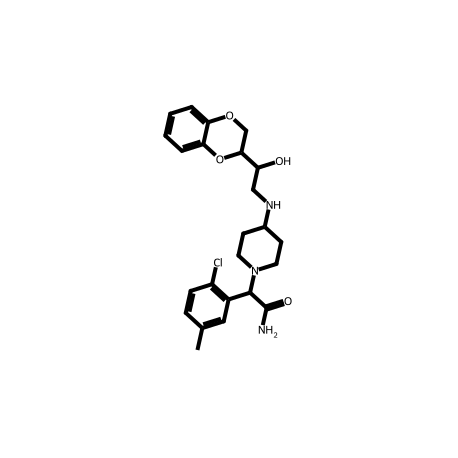 Cc1ccc(Cl)c(C(C(N)=O)N2CCC(NCC(O)C3COc4ccccc4O3)CC2)c1